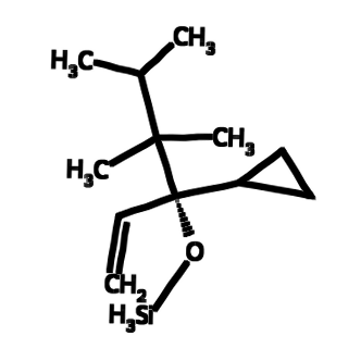 C=C[C@](O[SiH3])(C1CC1)C(C)(C)C(C)C